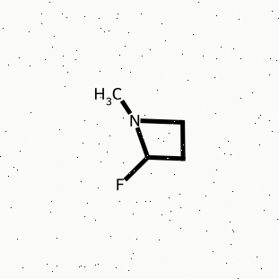 CN1CCC1F